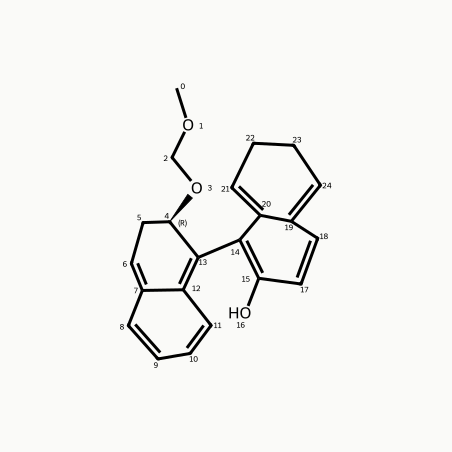 COCO[C@@H]1CC=c2ccccc2=C1c1c(O)ccc2c1=CCCC=2